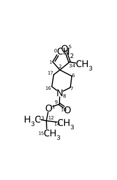 C=CC1(C(C)=O)CCN(C(=O)OC(C)(C)C)CC1